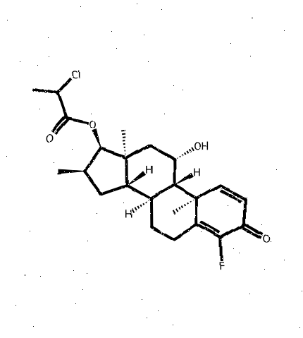 CC(Cl)C(=O)O[C@@H]1[C@H](C)C[C@H]2[C@@H]3CCC4=C(F)C(=O)C=C[C@]4(C)[C@H]3[C@@H](O)C[C@]12C